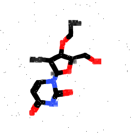 CNCOC1C(OC)[C@H](n2ccc(=O)[nH]c2=O)O[C@@H]1CO